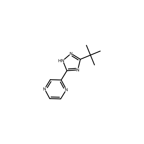 CC(C)(C)c1n[nH]c(-c2cnccn2)n1